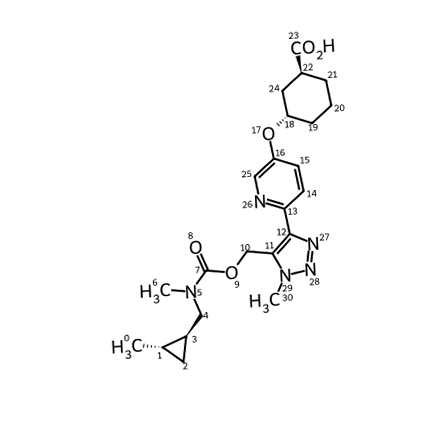 C[C@H]1C[C@@H]1CN(C)C(=O)OCc1c(-c2ccc(O[C@H]3CCC[C@H](C(=O)O)C3)cn2)nnn1C